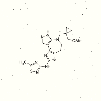 COCC1(CN2CCc3sc(Nc4nsc(C)n4)nc3-c3cn[nH]c32)CC1